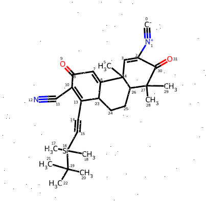 [C-]#[N+]C1=CC2(C)C3=CC(=O)C(C#N)=C(C#C[Si](C)(C)C(C)(C)C)C3CCC2C(C)(C)C1=O